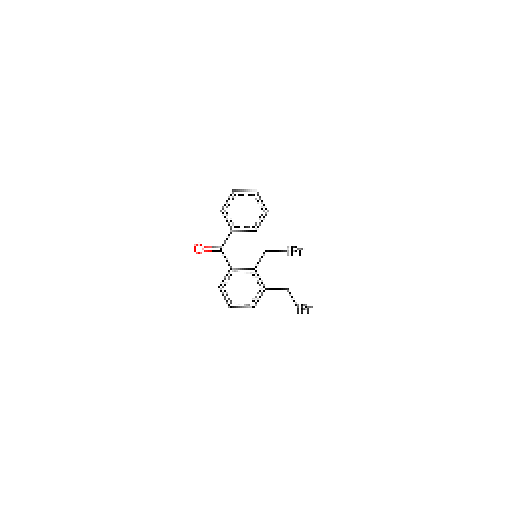 CC(C)Cc1cccc(C(=O)c2ccccc2)c1CC(C)C